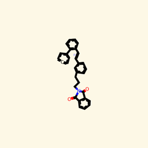 O=C1c2ccccc2C(=O)N1CCCc1cccc(/C=C/c2ccccc2-c2ccccc2)c1